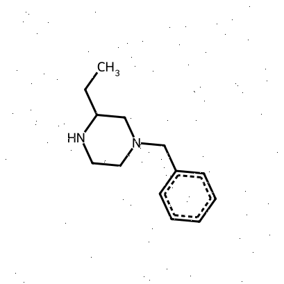 CCC1CN(Cc2ccccc2)CCN1